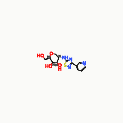 OC[C@H]1OC[C@H](Nc2nc(-c3cccnc3)ns2)[C@@H](O)[C@H]1O